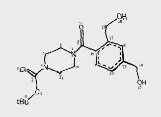 CC(C)(C)OC(=O)N1CCN(C(=O)c2ccc(CO)cc2CO)CC1